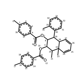 Cc1ccc(C(=O)OC2C(OC(=O)c3ccc(C)cc3)C(C)C3(C)C=CC=CC3C2c2ccccc2C)cc1